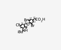 CCC(C)Nc1cc(Cl)cc(COc2c(Br)cc(CC(=O)O)cc2Br)c1F